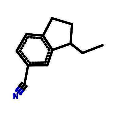 CCC1CCc2ccc(C#N)cc21